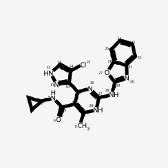 CC1=C(C(=O)NC2CC2)C(c2n[nH]cc2Cl)N=C(Nc2nc3ccccc3o2)N1